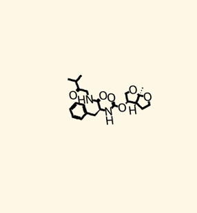 CC(C)C(=O)CNC(=O)[C@H](Cc1ccccc1)NC(=O)O[C@H]1CO[C@@]2(C)OCC[C@@H]12